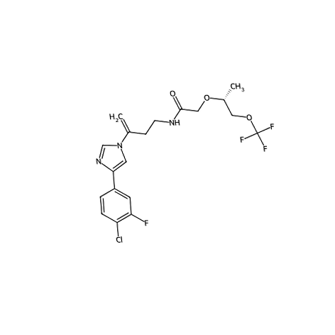 C=C(CCNC(=O)CO[C@H](C)COC(F)(F)F)n1cnc(-c2ccc(Cl)c(F)c2)c1